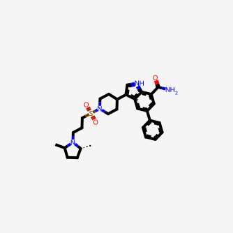 CC1CC[C@@H](C)N1CCCS(=O)(=O)N1CCC(c2c[nH]c3c(C(N)=O)cc(-c4ccccc4)cc23)CC1